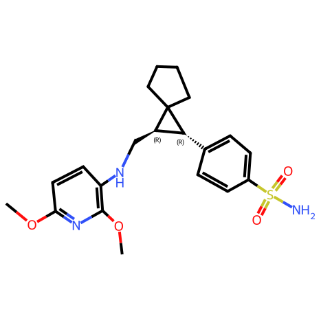 COc1ccc(NC[C@@H]2[C@@H](c3ccc(S(N)(=O)=O)cc3)C23CCCC3)c(OC)n1